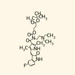 CCN(CC)CCN(C(=O)OCCC(=O)OC(C)(C)C)C(=O)c1c(C)[nH]c(C=C2C(=O)Nc3ccc(F)cc32)c1C